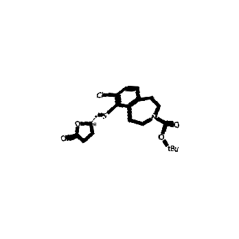 CC(C)(C)OC(=O)N1CCc2ccc(Cl)c(SC[C@@H]3CCC(=O)O3)c2CC1